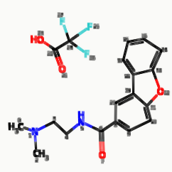 CN(C)CCNC(=O)c1ccc2oc3ccccc3c2c1.O=C(O)C(F)(F)F